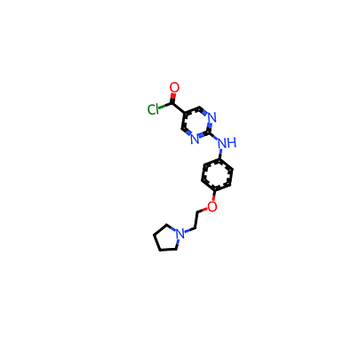 O=C(Cl)c1cnc(Nc2ccc(OCCN3CCCC3)cc2)nc1